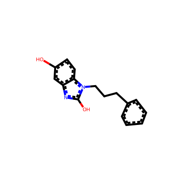 Oc1ccc2c(c1)nc(O)n2CCCc1ccccc1